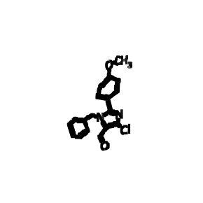 COc1ccc(-c2nc(Cl)c(C=O)n2Cc2ccccc2)cc1